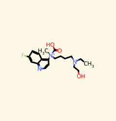 CCN(CCO)CCCC[N+](C)(C(=O)O)c1ccnc2cc(F)ccc12